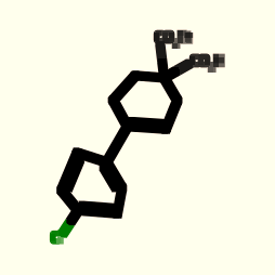 CCOC(=O)C1(C(=O)O)CC=C(c2ccc(Cl)cc2)CC1